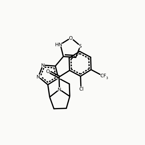 O=C(c1cccc(C(F)(F)F)c1Cl)N1C2CCC1c1nnc(C3=CSON3)n1C2